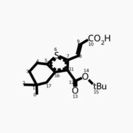 CC1(C)CCc2sc(/C=C/C(=O)O)c(C(=O)OC(C)(C)C)c2C1